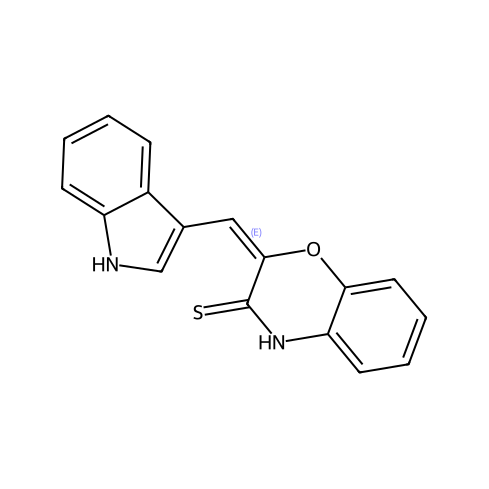 S=C1Nc2ccccc2O/C1=C/c1c[nH]c2ccccc12